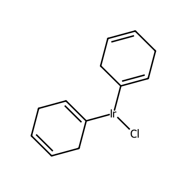 [Cl][Ir]([C]1=CCC=CC1)[C]1=CCC=CC1